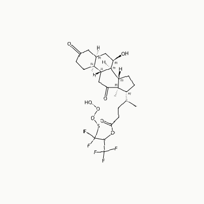 CC(CCC(=O)OC(C(F)(F)F)C(F)(F)SOOO)[C@H]1CC[C@H]2[C@@H]3[C@H](O)C[C@@H]4CC(=O)CC[C@]4(C)[C@H]3CC(=O)[C@]12C